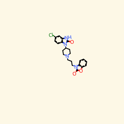 O=c1oc2ccccc2n1CCCN1CCC(n2c(=O)[nH]c3cc(Cl)ccc32)CC1